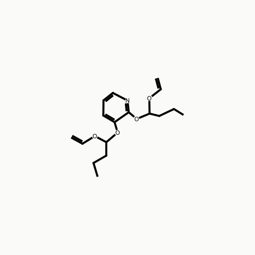 C=COC(CCC)Oc1cccnc1OC(CCC)OC=C